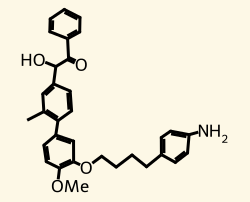 COc1ccc(-c2ccc(C(O)C(=O)c3ccccc3)cc2C)cc1OCCCCc1ccc(N)cc1